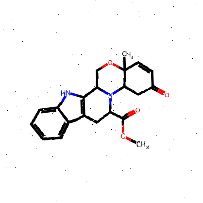 COC(=O)C1Cc2c([nH]c3ccccc23)C2COC3(C)C=CC(=O)CC3N12